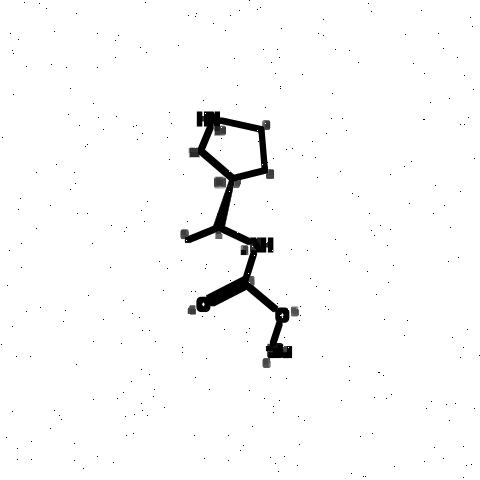 CC(NC(=O)OC(C)(C)C)[C@@H]1CCNC1